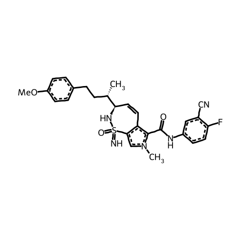 COc1ccc(CC[C@H](C)[C@H]2C=Cc3c(cn(C)c3C(=O)Nc3ccc(F)c(C#N)c3)S(=N)(=O)N2)cc1